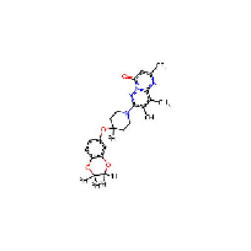 [2H]C1(Oc2ccc3c(c2)OC([2H])([2H])C([2H])([2H])O3)CCN(c2nn3c(=O)cc(C(F)(F)F)nc3c(C)c2C)CC1